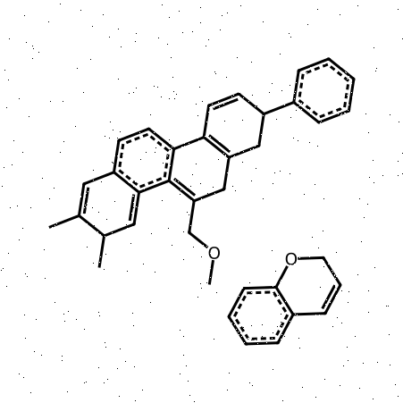 C1=Cc2ccccc2OC1.COCC1=c2c(ccc3c2=CC(C)C(C)=C3)C2=C(C1)CC(c1ccccc1)C=C2